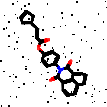 O=C(/C=C/C1=CC=CC1)Oc1ccc(N2C(=O)c3cccc4cccc(c34)C2=O)cc1